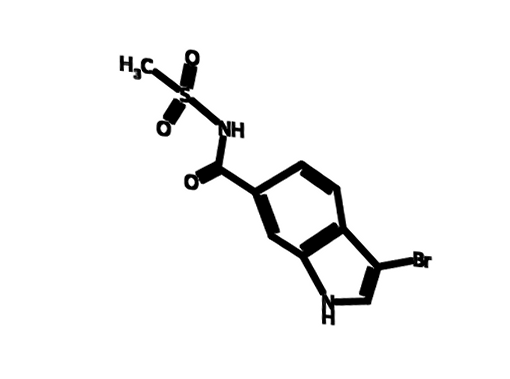 CS(=O)(=O)NC(=O)c1ccc2c(Br)c[nH]c2c1